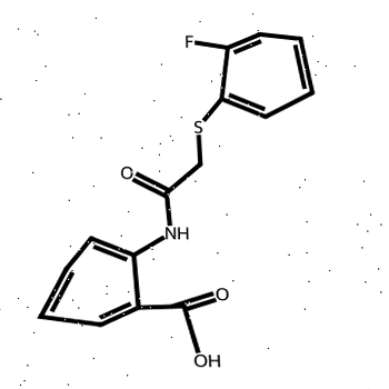 O=C(CSc1ccccc1F)Nc1ccccc1C(=O)O